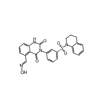 O=c1[nH]c2cccc(C=NO)c2c(=O)n1-c1cccc(S(=O)(=O)N2CCCc3ccccc32)c1